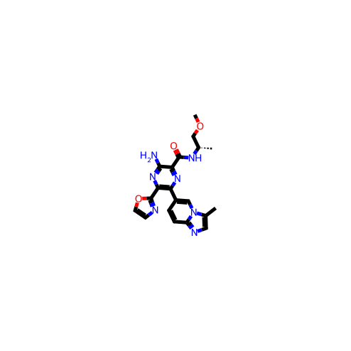 COC[C@H](C)NC(=O)c1nc(-c2ccc3ncc(C)n3c2)c(-c2ncco2)nc1N